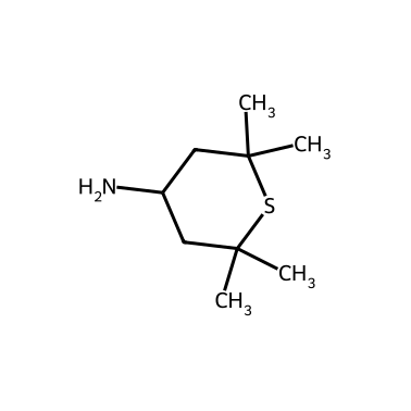 CC1(C)CC(N)CC(C)(C)S1